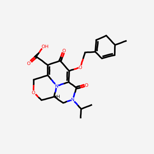 CC1C=CC(COc2c3n4c(c(C(=O)O)c2=O)COC[C@H]4CN(C(C)C)C3=O)=CC1